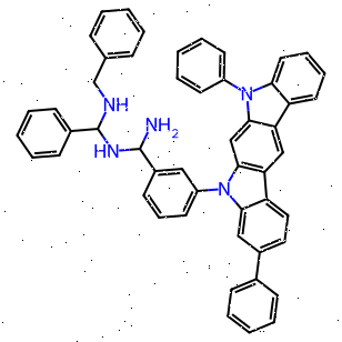 NC(NC(NCc1ccccc1)c1ccccc1)c1cccc(-n2c3cc(-c4ccccc4)ccc3c3cc4c5ccccc5n(-c5ccccc5)c4cc32)c1